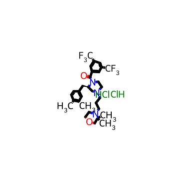 Cc1ccc(C[C@@H]2CN(CCCN3CCOCC3(C)C)CCN2C(=O)c2cc(C(F)(F)F)cc(C(F)(F)F)c2)cc1C.Cl.Cl